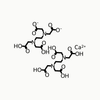 O=C(O)CN(CCN(CC(=O)O)CC(=O)O)CC(=O)O.O=C([O-])CN(CCN(CC(=O)O)CC(=O)O)CC(=O)[O-].[Ca+2]